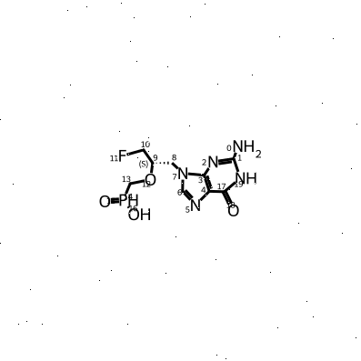 Nc1nc2c(ncn2C[C@@H](CF)OC[PH](=O)O)c(=O)[nH]1